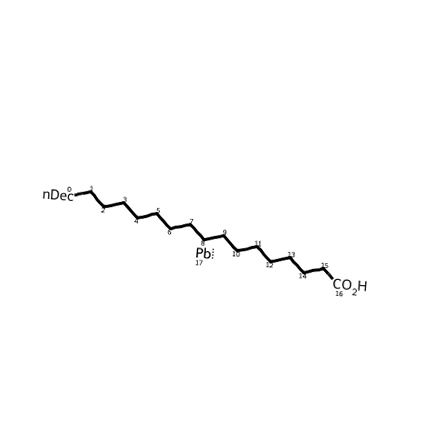 CCCCCCCCCCCCCCCCCCCCCCCCCC(=O)O.[Pb]